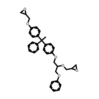 CC(c1ccccc1)(c1ccc(OCC(COc2ccccc2)OCC2CO2)cc1)c1ccc(OCC2CO2)cc1